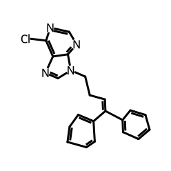 Clc1ncnc2c1ncn2CCC=C(c1ccccc1)c1ccccc1